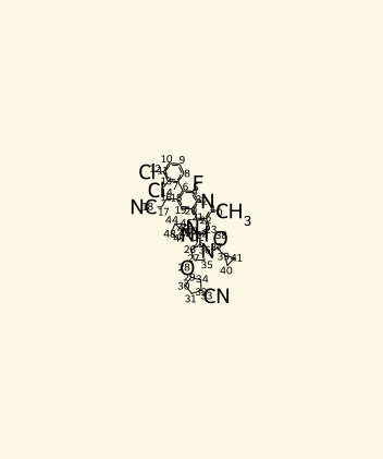 Cc1nc2c(F)c(-c3cccc(Cl)c3Cl)c(CCC#N)cc2c2c1cc(C1CC(OC3CCC(C#N)C3)CN1C(=O)C1CC1)n2C1C2CNC1C2